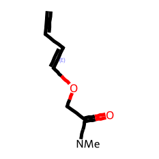 C=C/C=C/OCC(=O)NC